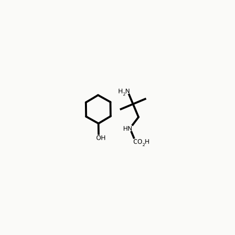 CC(C)(N)CNC(=O)O.OC1CCCCC1